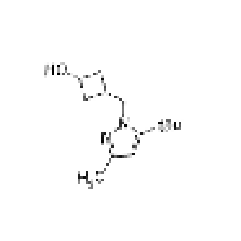 Cc1cc(C(C)(C)C)n(CC2CC(O)C2)n1